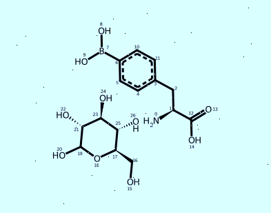 N[C@@H](Cc1ccc(B(O)O)cc1)C(=O)O.OC[C@H]1OC(O)[C@H](O)[C@@H](O)[C@@H]1O